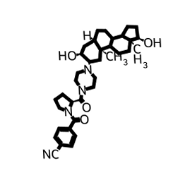 C[C@]12CCC3C(CC[C@@H]4C[C@H](O)[C@@H](N5CCN(C(=O)[C@@H]6CCCN6C(=O)c6ccc(C#N)cc6)CC5)C[C@]34C)C1CC[C@H]2O